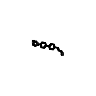 O=C/C=C/c1ccc(-c2ccc(-n3ccnc3)cc2)cc1